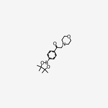 CC1(C)OB(c2ccc(C(=O)CN3CCOCC3)cc2)OC1(C)C